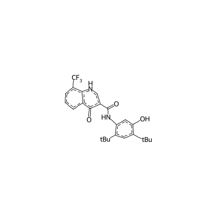 CC(C)(C)c1cc(C(C)(C)C)c(NC(=O)c2c[nH]c3c(C(F)(F)F)cccc3c2=O)cc1O